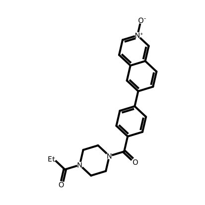 CCC(=O)N1CCN(C(=O)c2ccc(-c3ccc4c[n+]([O-])ccc4c3)cc2)CC1